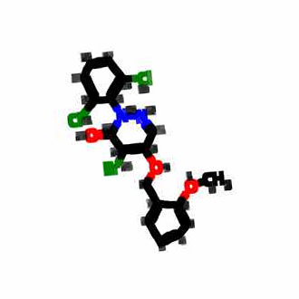 COc1ccccc1COc1cnn(-c2c(Cl)cccc2Cl)c(=O)c1Br